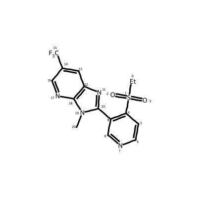 CCS(=O)(=O)c1ccncc1-c1nc2cc(C(F)(F)F)cnc2n1C